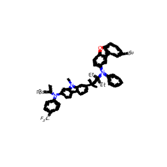 CCCCC(C)N(c1ccc(C(F)(F)F)cc1)c1ccc2c3ccc(C(C)(C)C(CC)(CC)N(c4ccccc4)c4ccc5oc6ccc(C(C)CC)cc6c5c4)cc3n(C)c2c1